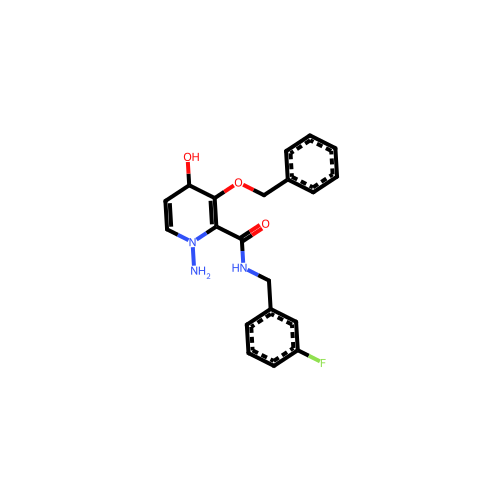 NN1C=CC(O)C(OCc2ccccc2)=C1C(=O)NCc1cccc(F)c1